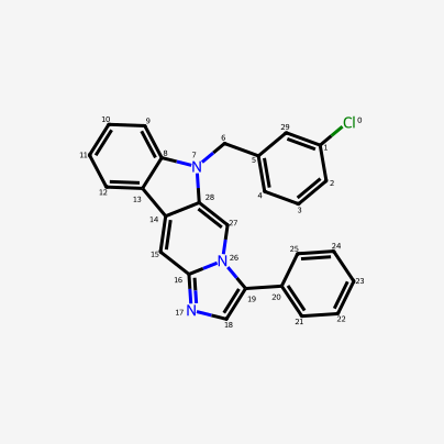 Clc1cccc(Cn2c3ccccc3c3cc4ncc(-c5ccccc5)n4cc32)c1